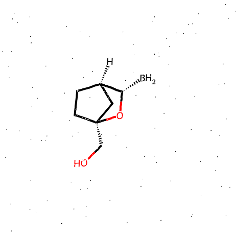 B[C@@H]1O[C@@]2(CO)CC[C@@H]1C2